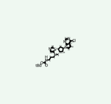 CC(C)(C)OC(=O)NCCCN(C[C@@H]1CC[C@H](n2ccc3c(Cl)ncnc32)C1)c1cncs1